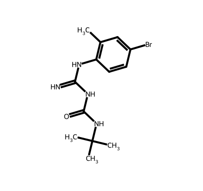 Cc1cc(Br)ccc1NC(=N)NC(=O)NC(C)(C)C